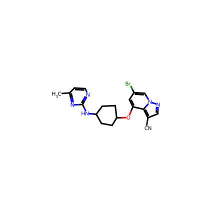 Cc1ccnc(NC2CCC(Oc3cc(Br)cn4ncc(C#N)c34)CC2)n1